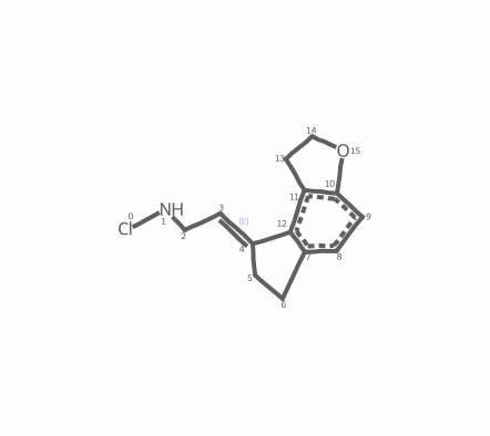 ClNC/C=C1\CCc2ccc3c(c21)CCO3